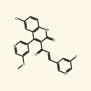 COc1cncc(-c2c(C(=O)/C=C/c3cncc(F)c3)c(=O)[nH]c3ccc(Cl)cc23)c1